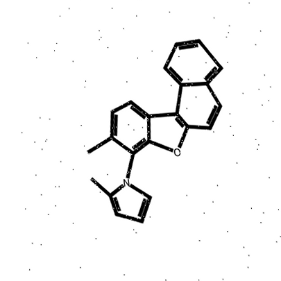 Cc1ccc2c(oc3ccc4ccccc4c32)c1-n1cccc1C